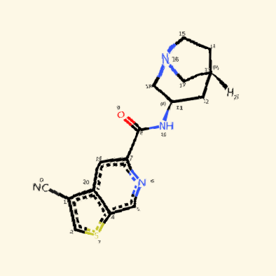 N#Cc1csc2cnc(C(=O)N[C@@H]3C[C@H]4CCN(C4)C3)cc12